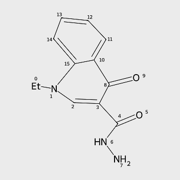 CCn1cc(C(=O)NN)c(=O)c2ccccc21